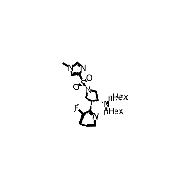 CCCCCCN(CCCCCC)[C@H]1CN(S(=O)(=O)c2cn(C)cn2)C[C@@H]1c1ncccc1F